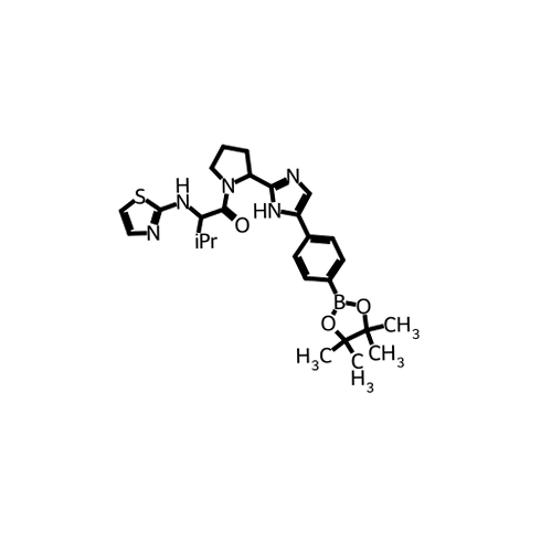 CC(C)C(Nc1nccs1)C(=O)N1CCCC1c1ncc(-c2ccc(B3OC(C)(C)C(C)(C)O3)cc2)[nH]1